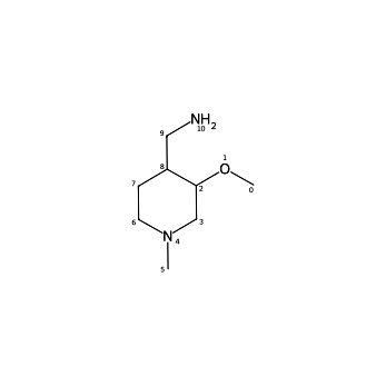 COC1CN(C)CCC1CN